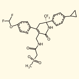 CS(=O)(=O)CC(=O)NCC1=C(c2ccc(OC(F)F)cn2)C[C@](c2ccc(C3CC3)cc2)(C(F)(F)F)NC1=O